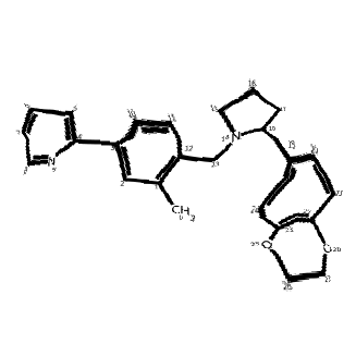 Cc1cc(-c2ccccn2)ccc1CN1CCCC1c1ccc2c(c1)OCCO2